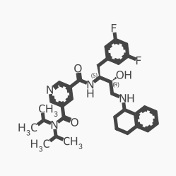 CC(C)N(C(=O)c1cncc(C(=O)N[C@@H](Cc2cc(F)cc(F)c2)[C@H](O)CNC2CCCc3ccccc32)c1)C(C)C